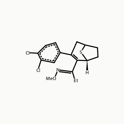 CCC(=NOC)C1=C(c2ccc(Cl)c(Cl)c2)CC2CC[C@H]1S2